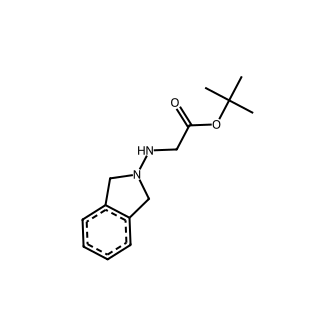 CC(C)(C)OC(=O)CNN1Cc2ccccc2C1